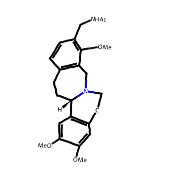 COc1cc2c(cc1OC)[C@@H]1CCc3ccc(CNC(C)=O)c(OC)c3CN1CC2